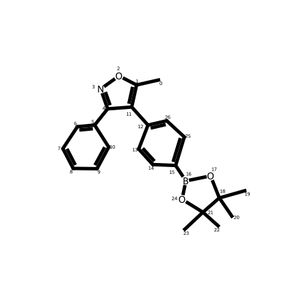 Cc1onc(-c2ccccc2)c1-c1ccc(B2OC(C)(C)C(C)(C)O2)cc1